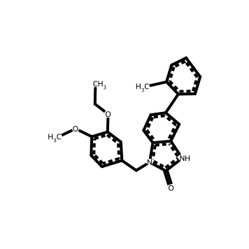 CCOc1cc(Cn2c(=O)[nH]c3cc(-c4ccccc4C)ccc32)ccc1OC